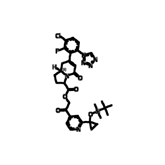 CC(C)(C)[Si](C)(C)OC1(c2cc(C(=O)COC(=O)C3CC[C@@H]4CC(c5c(-n6cnnn6)ccc(Cl)c5F)=CC(=O)N34)ccn2)CC1